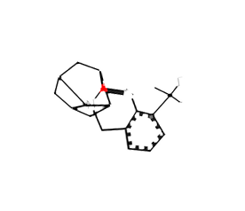 FC(F)(F)c1cccc2c1N=C1C3CC4CC(C3)CC(C4)N1C2